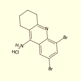 Cl.Nc1c2c(nc3c(Br)cc(Br)cc13)CCCC2